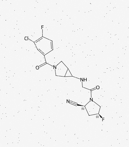 N#C[C@@H]1C[C@H](F)CN1C(=O)CNC1C2CN(C(=O)c3ccc(F)c(Cl)c3)CC21